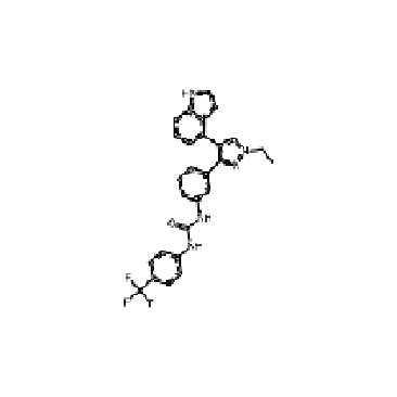 CCn1cc(-c2cccc3[nH]ccc23)c(-c2cccc(NC(=O)Nc3ccc(C(F)(F)F)cc3)c2)n1